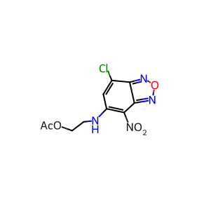 CC(=O)OCCNc1cc(Cl)c2nonc2c1[N+](=O)[O-]